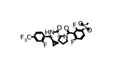 CS(=O)(=O)c1ccc(F)c(C(=O)N2CCC[C@@H]2C(=O)N[C@H](C2=CC2)c2ccc(C(F)(F)F)cc2F)c1F